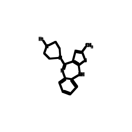 CCN1CCN(C2=Nc3ccccc3Nc3sc(C)cc32)CC1